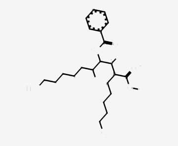 CCCCCCC(C)C(OC(=O)c1ccccc1)C(O)C(CCCCCC)C(=O)OC